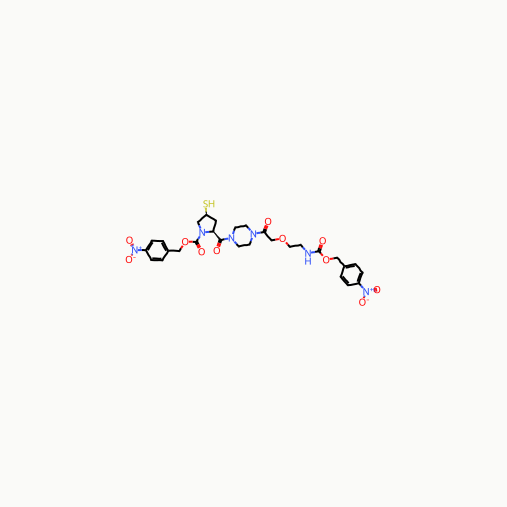 O=C(NCCOCC(=O)N1CCN(C(=O)[C@@H]2C[C@H](S)CN2C(=O)OCc2ccc([N+](=O)[O-])cc2)CC1)OCc1ccc([N+](=O)[O-])cc1